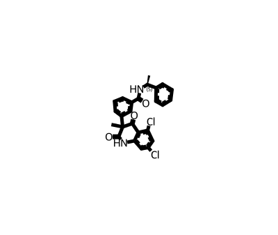 C[C@H](NC(=O)c1cccc(C2(C)C(=O)Nc3cc(Cl)cc(Cl)c3C2=O)c1)c1ccccc1